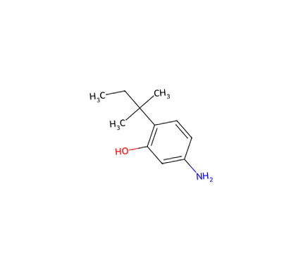 CCC(C)(C)c1ccc(N)cc1O